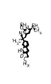 CCc1cc2ccc(C(C)(C#N)Cc3cc(N(C)C)nc(OC)n3)cc2[nH]c1=O